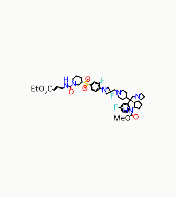 CCOC(=O)/C=C/CNC(=O)N1CCC[C@@H](S(=O)(=O)c2ccc(N3CC(F)(CN4CCC(C(CN5CCC5)(c5cccc(F)c5)[C@H]5CCC[C@@H]5NC(=O)OC)CC4)C3)c(F)c2)C1